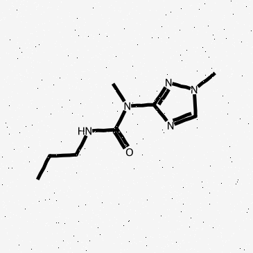 CCCNC(=O)N(C)c1ncn(C)n1